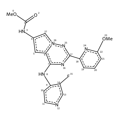 COC(=O)Nc1cc2c(Nc3ccncc3F)nc(-c3cccc(OC)n3)nn2c1